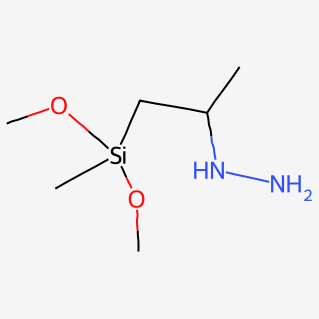 CO[Si](C)(CC(C)NN)OC